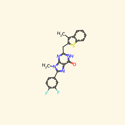 Cc1c(Cc2nc3c(nc(-c4ccc(F)c(F)c4)n3C)c(=O)[nH]2)sc2ccccc12